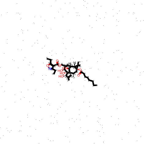 CCCCCCCC(=O)O[C@@]12C[C@@H](C)[C@]34C=C(C)[C@H](O)[C@@]3(O)[C@H](O)C(COC(=O)c3c(CC)noc3CC)=C[C@H](C4O)[C@@H]1C2(C)C